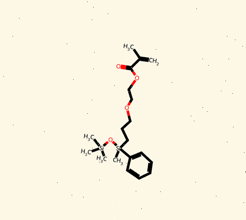 C=C(C)C(=O)OCCOCCC[Si](C)(O[Si](C)(C)C)c1ccccc1